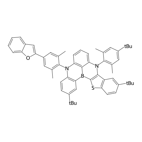 Cc1cc(-c2cc3ccccc3o2)cc(C)c1N1c2ccc(C(C)(C)C)cc2B2c3sc4ccc(C(C)(C)C)cc4c3N(c3c(C)cc(C(C)(C)C)cc3C)c3cccc1c32